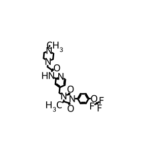 CC1C(=O)N(c2ccc(OC(F)(F)F)cc2)C(=O)N1Cc1ccnc(NC(=O)CN2CCN(C)CC2)c1